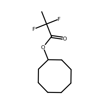 CC(F)(F)C(=O)OC1CCCCCCC1